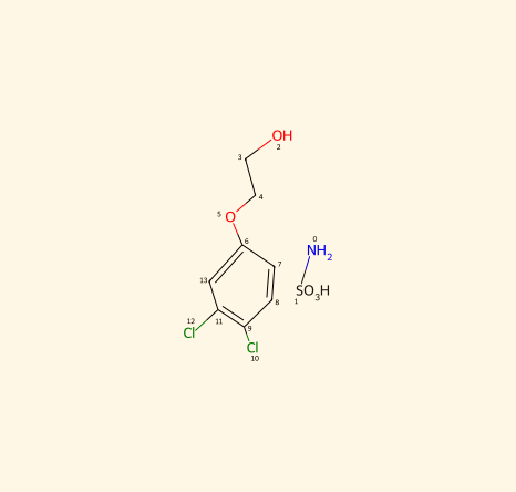 NS(=O)(=O)O.OCCOc1ccc(Cl)c(Cl)c1